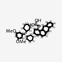 COc1cc(OC)cc(P(C2CCCCC2)C2CCCCC2)c1.OB(O)Oc1cccc2ccc3cc4ccccc4cc3c12